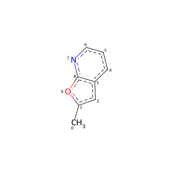 Cc1cc2cccnc2o1